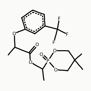 CC(Oc1cccc(C(F)(F)F)c1)C(=O)OC(C)P1(=O)OCC(C)(C)CO1